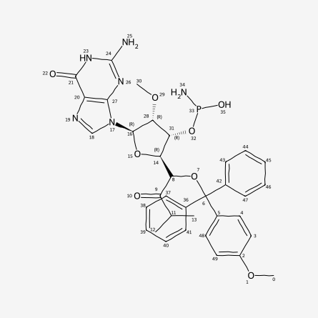 COc1ccc(C(OC(C(=O)C(C)C)[C@H]2O[C@@H](n3cnc4c(=O)[nH]c(N)nc43)[C@H](OC)[C@@H]2OP(N)O)(c2ccccc2)c2ccccc2)cc1